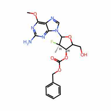 COc1nc(N)nc2c1ncn2C1OC(CO)[C@@H](OC(=O)OCc2ccccc2)[C@@]1(C)F